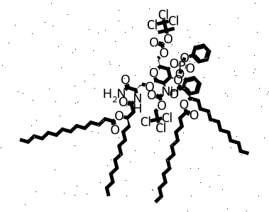 CCCCCCCCCCCCCC(=O)O[C@H](CCCCCCCCCCC)CC(=O)N[C@@H](CO[C@@H]1O[C@H](COC(=O)OC(C)(C)C(Cl)(Cl)Cl)[C@@H](OP(=O)(Oc2ccccc2)Oc2ccccc2)[C@H](OC(=O)C[C@@H](CCCCCCCCCCC)OC(=O)CCCCCCCCCCCCC)[C@H]1NC(=O)OCC(Cl)(Cl)Cl)C(N)=O